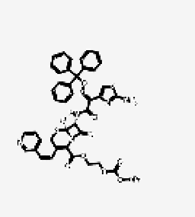 CCCOC(=O)OCCOC(=O)C1=C(/C=C\c2cccnc2)CS[C@H]2[C@H](NC(=O)C(=NOC(c3ccccc3)(c3ccccc3)c3ccccc3)c3csc(N)n3)C(=O)N12